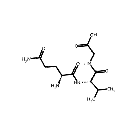 CC(C)[C@H](NC(=O)[C@@H](N)CCC(N)=O)C(=O)NCC(=O)O